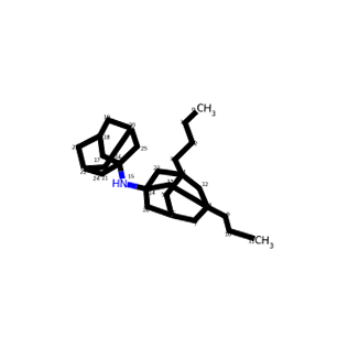 CCCCC12CC3CC(CCC)(C1)CC(NC14CC5CC(CC(C5)C1)C4)(C3)C2